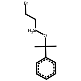 CC(C)(O[SiH2]CCBr)c1ccccc1